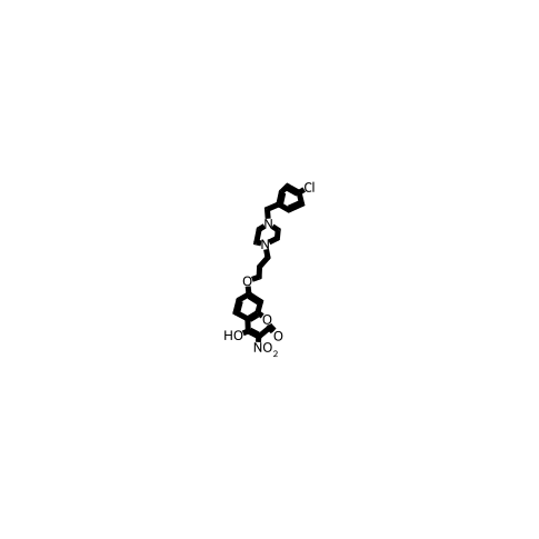 O=c1oc2cc(OCCCN3CCN(Cc4ccc(Cl)cc4)CC3)ccc2c(O)c1[N+](=O)[O-]